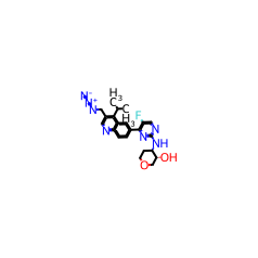 CC(C)c1c(CN=[N+]=[N-])cnc2ccc(-c3nc(N[C@@H]4CCOC[C@H]4O)ncc3F)cc12